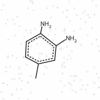 Cc1[c]cc(N)c(N)c1